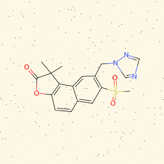 CC1(C)C(=O)Oc2ccc3cc(S(C)(=O)=O)c(Cn4cncn4)cc3c21